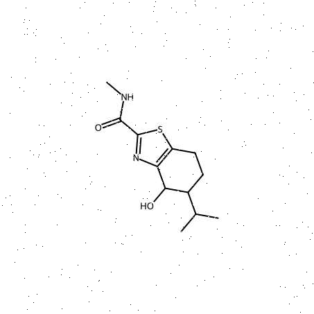 CNC(=O)c1nc2c(s1)CCC(C(C)C)C2O